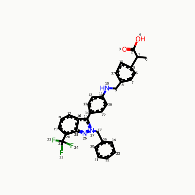 CC(C(=O)O)c1ccc(CNc2ccc(-c3c4cccc(C(F)(F)F)c4nn3Cc3ccccc3)cc2)cc1